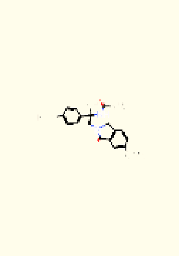 CNC(=O)NC(C=O)(CN1Cc2ccc(OC)cc2C1=O)c1ccc(C(=O)O)cc1